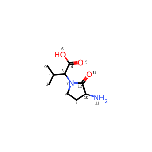 CC(C)C(C(=O)O)N1CCC(N)C1=O